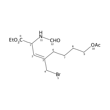 CCOC(=O)C(C=C(CBr)CCCCOC(C)=O)NC=O